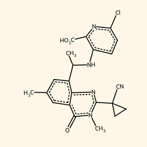 Cc1cc(C(C)Nc2ccc(Cl)nc2C(=O)O)c2nc(C3(C#N)CC3)n(C)c(=O)c2c1